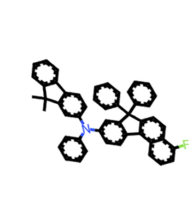 CC1(C)c2ccccc2-c2ccc(N(c3ccccc3)c3ccc4c(c3)C(c3ccccc3)(c3ccccc3)c3ccc5c(F)cccc5c3-4)cc21